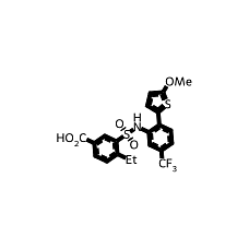 CCc1ccc(C(=O)O)cc1S(=O)(=O)Nc1cc(C(F)(F)F)ccc1-c1ccc(OC)s1